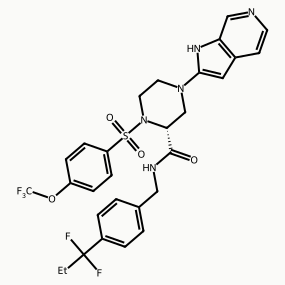 CCC(F)(F)c1ccc(CNC(=O)[C@H]2CN(c3cc4ccncc4[nH]3)CCN2S(=O)(=O)c2ccc(OC(F)(F)F)cc2)cc1